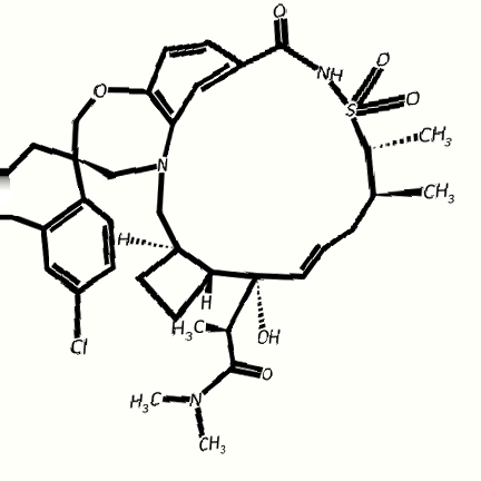 C[C@H](C(=O)N(C)C)[C@]1(O)/C=C/C[C@H](C)[C@@H](C)S(=O)(=O)NC(=O)c2ccc3c(c2)N(C[C@@H]2CC[C@H]21)C[C@@]1(CCCc2cc(Cl)ccc21)CO3